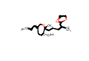 CC(=O)OC/C=C1\CC[C@@H](OC(C)=O)C(C)(CCCC(C)C2OCCO2)OC1